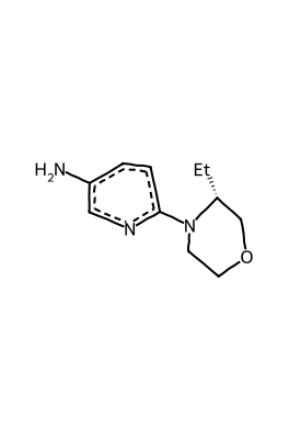 CC[C@@H]1COCCN1c1ccc(N)cn1